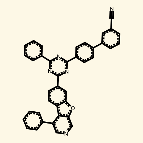 N#Cc1cccc(-c2ccc(-c3nc(-c4ccccc4)nc(-c4ccc5c(c4)oc4cncc(-c6ccccc6)c45)n3)cc2)c1